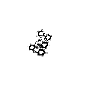 C1=NCCCO1.C1=Nc2ccccc2CO1.C1COCOC1.c1ccc2c(c1)Nc1ccccc1S2